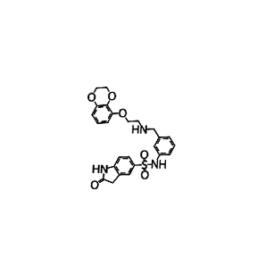 O=C1Cc2cc(S(=O)(=O)Nc3cccc(CNCCOc4cccc5c4OCCO5)c3)ccc2N1